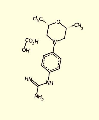 C[C@@H]1CN(c2ccc(NC(=N)N)cc2)C[C@H](C)O1.O=C(O)O